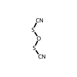 N#CSOSC#N